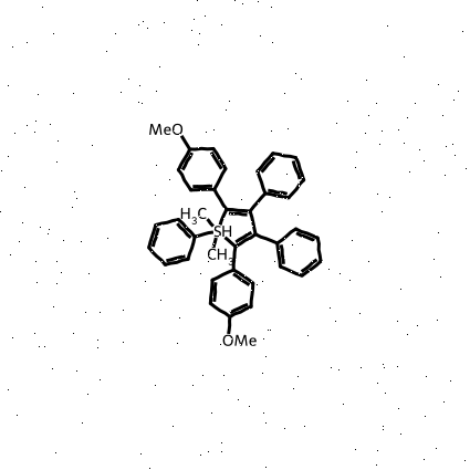 COc1ccc(C2=C(c3ccccc3)C(c3ccccc3)=C(c3ccc(OC)cc3)[SH]2(C)(C)c2ccccc2)cc1